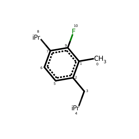 Cc1c(CC(C)C)ccc(C(C)C)c1F